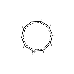 [c]1ccccccccn1